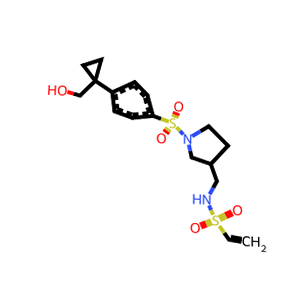 C=CS(=O)(=O)NCC1CCN(S(=O)(=O)c2ccc(C3(CO)CC3)cc2)C1